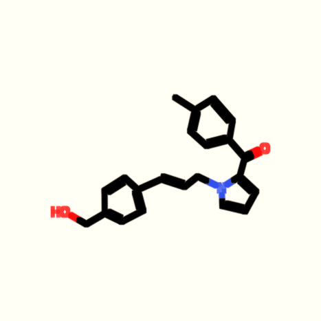 Cc1ccc(C(=O)c2cccn2C/C=C/c2ccc(CO)cc2)cc1